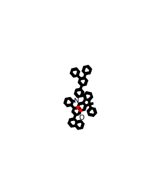 CC1(c2ccccc2)c2ccccc2-c2c(N(c3ccc(-c4ccc(-c5ccccc5)c(-c5ccccc5)c4)cc3)c3ccccc3-c3ccc4c(c3)-c3cccc5cccc(c35)O4)cccc21